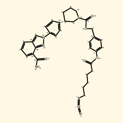 [N-]=[N+]=NCCCCCC(=O)Oc1ccc(COC(=O)N2CCC[C@@H](c3ccc(-n4cc5cccc(C(N)=O)c5n4)cc3)C2)cc1